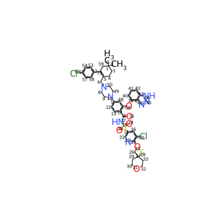 CC1(C)CCC(CN2CCN(c3ccc(C(=O)NS(=O)(=O)c4cnc(OCC5(F)CCOCC5)c(Cl)c4)c(Oc4cccc5[nH]nnc45)c3)CC2)=C(c2ccc(Cl)cc2)C1